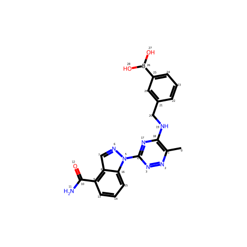 Cc1nnc(-n2ncc3c(C(N)=O)cccc32)nc1NCc1cccc(B(O)O)c1